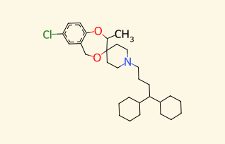 CC1Oc2ccc(Cl)cc2COC12CCN(CCCC(C1CCCCC1)C1CCCCC1)CC2